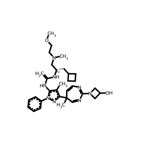 C=C(Nc1c(C)c(C2(C)C=CN=C(N3CC(O)C3)N=C2)nn1-c1ccccc1)N[C@@H](CC1CCC1)CN(C)CCOC